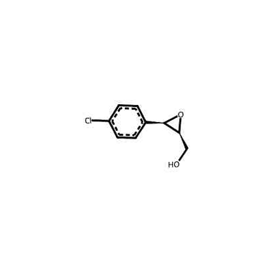 OC[C@@H]1O[C@@H]1c1ccc(Cl)cc1